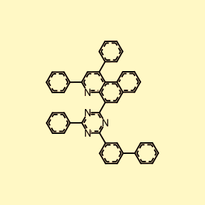 c1ccc(-c2cccc(-c3nc(-c4ccccc4)nc(-c4cc5ccccc5c5c(-c6ccccc6)cc(-c6ccccc6)nc45)n3)c2)cc1